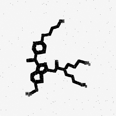 CCCCN(CCCC)C(=O)Cn1nc(C(=O)c2ccc(OCCCO)nc2)c2ccc(OC)cc21